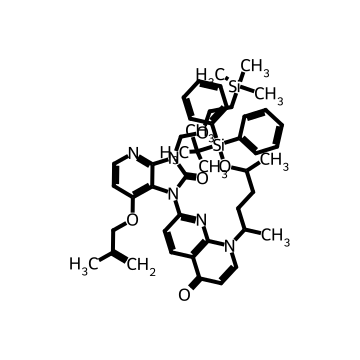 C=C(C)COc1ccnc2c1n(-c1ccc3c(=O)ccn(C(C)CCC(C)O[Si](c4ccccc4)(c4ccccc4)C(C)(C)C)c3n1)c(=O)n2COCC[Si](C)(C)C